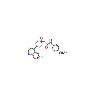 COc1ccc(NC(=O)C2COC23CCC(c2ccnc4ccc(F)cc24)CC3)cc1